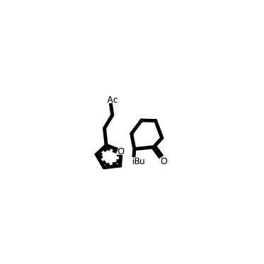 CC(=O)CCc1ccco1.CCC(C)C1CCCCC1=O